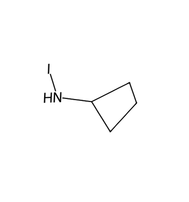 INC1CCC1